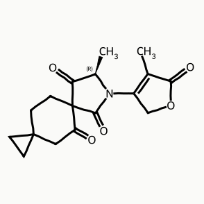 CC1=C(N2C(=O)C3(CCC4(CC4)CC3=O)C(=O)[C@H]2C)COC1=O